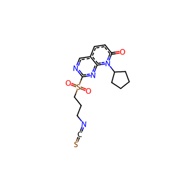 O=c1ccc2cnc(S(=O)(=O)CCCN=C=S)nc2n1C1CCCC1